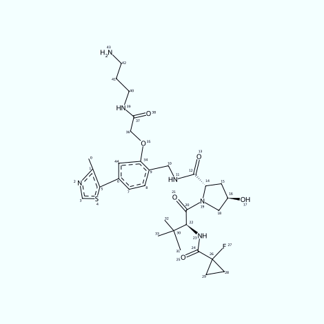 Cc1ncsc1-c1ccc(CNC(=O)[C@@H]2C[C@@H](O)CN2C(=O)[C@@H](NC(=O)C2(F)CC2)C(C)(C)C)c(OCC(=O)NCCCN)c1